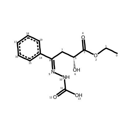 CCOC(=O)[C@H](O)C/C(=N\NC(=O)O)c1ccccc1